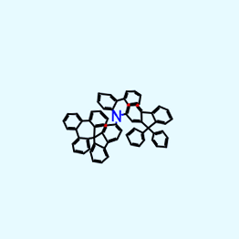 c1ccc(-c2ccccc2N(c2ccc3c(c2)C(c2ccccc2)(c2ccccc2)c2ccccc2-3)c2ccc3c(c2)C2(c4ccccc4-c4ccccc4-c4ccccc42)c2ccccc2-3)cc1